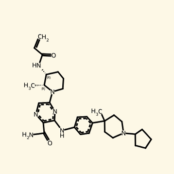 C=CC(=O)N[C@@H]1CCCN(c2cnc(C(N)=O)c(Nc3ccc(C4(C)CCN(C5CCCC5)CC4)cc3)n2)[C@@H]1C